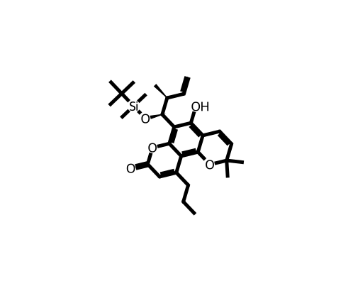 C=C[C@H](C)[C@H](O[Si](C)(C)C(C)(C)C)c1c(O)c2c(c3c(CCC)cc(=O)oc13)OC(C)(C)C=C2